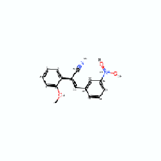 COc1ccccc1C(C#N)=Cc1cccc([N+](=O)[O-])c1